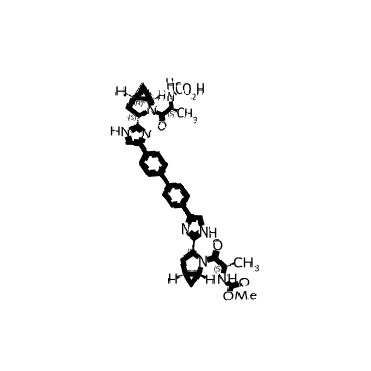 COC(=O)N[C@@H](C)C(=O)N1[C@@H]2C[C@H]2C[C@H]1c1nc(-c2ccc(-c3ccc(-c4c[nH]c([C@@H]5C[C@H]6C[C@H]6N5C(=O)[C@H](C)NC(=O)O)n4)cc3)cc2)c[nH]1